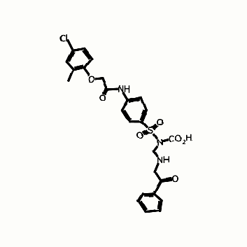 Cc1cc(Cl)ccc1OCC(=O)Nc1ccc(S(=O)(=O)N(CNCC(=O)c2ccccc2)C(=O)O)cc1